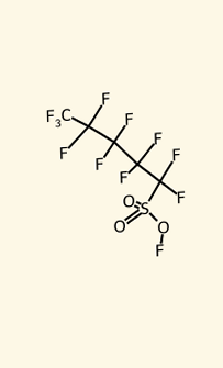 O=S(=O)(OF)C(F)(F)C(F)(F)C(F)(F)C(F)(F)C(F)(F)F